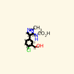 Cn1ncc(-c2ccc(Cl)c(CO)c2)c1NC(=O)O